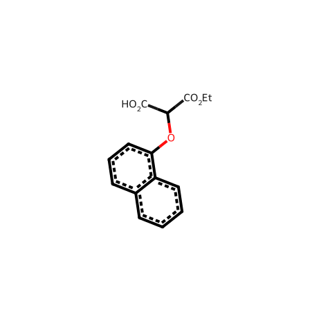 CCOC(=O)C(Oc1cccc2ccccc12)C(=O)O